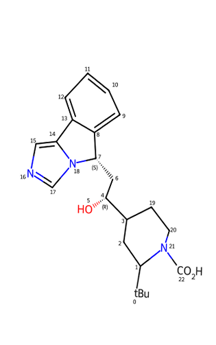 CC(C)(C)C1CC([C@H](O)C[C@H]2c3ccccc3-c3cncn32)CCN1C(=O)O